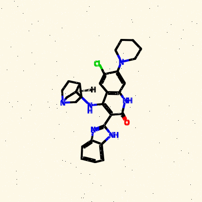 O=c1[nH]c2cc(N3CCCCC3)c(Cl)cc2c(N[C@H]2CN3CCC2CC3)c1-c1nc2ccccc2[nH]1